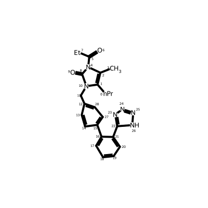 CCCc1c(C)n(C(=O)CC)c(=O)n1Cc1ccc(-c2ccccc2-c2nnn[nH]2)cc1